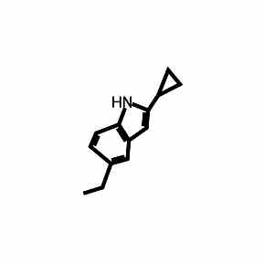 CCc1ccc2[nH]c(C3CC3)cc2c1